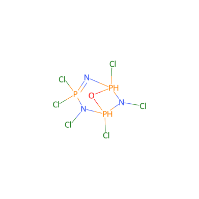 ClN1P(Cl)(Cl)=N[PH]2(Cl)O[PH]1(Cl)N2Cl